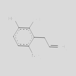 C=CCc1c([N+](=O)[O-])ccc(O)c1O